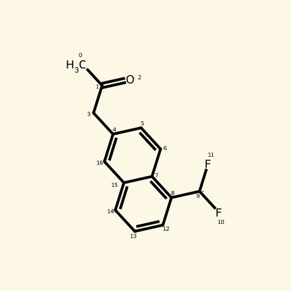 CC(=O)Cc1ccc2c([C](F)F)cccc2c1